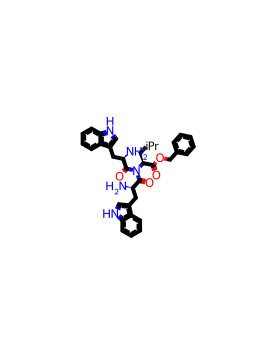 CC(C)C[C@@H](C(=O)OCc1ccccc1)N(C(=O)[C@@H](N)Cc1c[nH]c2ccccc12)C(=O)[C@@H](N)Cc1c[nH]c2ccccc12